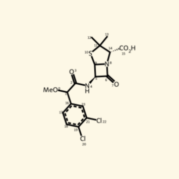 COC(C(=O)N[C@@H]1C(=O)N2C1SC(C)(C)[C@@H]2C(=O)O)c1ccc(Cl)c(Cl)c1